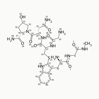 CNC(=O)CNC(=O)[C@H](N)Cc1c(SCC(NC(=O)CN)C(=O)N[C@@H](CC(N)=O)C(=O)N2CC(O)C[C@H]2C(N)=O)[nH]c2ccccc12